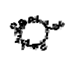 CC[C@H](C)[C@H]1CN[C@@H](CC(C)C)C(C)NCC2[C@@H](C(=O)N3CCCCC3)C(C)N2[C@@H](C2CCCC2)C(C)NC2(CCCC2)CNCCNC=CC(CCc2ccc(C(F)(F)F)cn2)=NC=CN(C)C=C(CC2CCCCC2)N(C)C=C2CCCN2[C@@H](C)C(C)N1